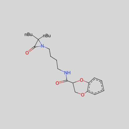 CCCCC1(CCCC)C(=O)N1CCCCNC(=O)C1COc2ccccc2O1